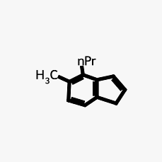 CCCc1c(C)ccc2c1C=CC2